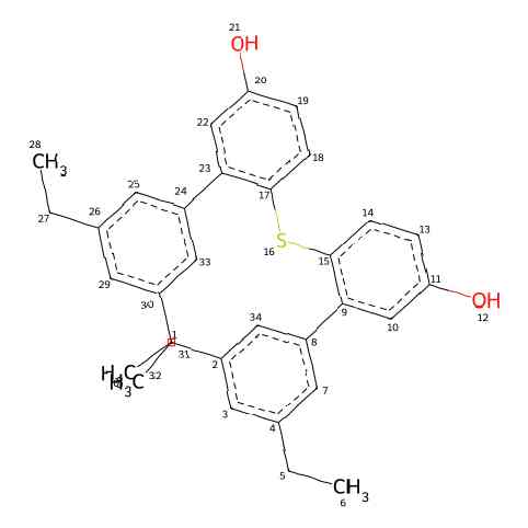 CCc1cc(CC)cc(-c2cc(O)ccc2Sc2ccc(O)cc2-c2cc(CC)cc(CC)c2)c1